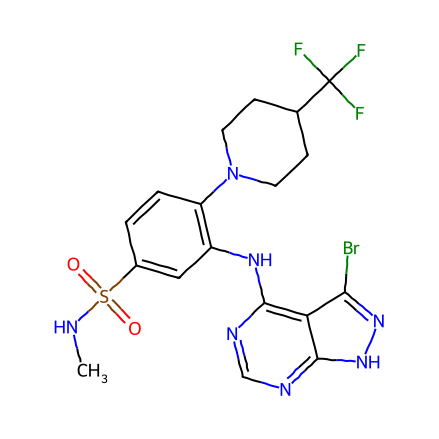 CNS(=O)(=O)c1ccc(N2CCC(C(F)(F)F)CC2)c(Nc2ncnc3[nH]nc(Br)c23)c1